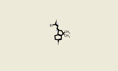 CC/C(I)=C\C=C1/CC(C)(C)C2=C1CCC(I)=C2